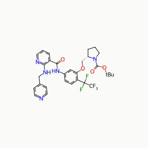 CC(C)(C)OC(=O)N1CCC[C@H]1COc1cc(NC(=O)c2cccnc2NCc2ccncc2)ccc1C(F)(F)C(F)(F)F